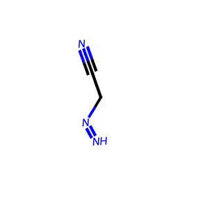 N#CCN=N